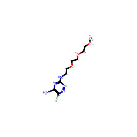 Nc1nc(NCCOCCOCCOC(F)(F)F)nnc1Cl